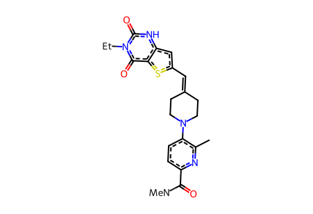 CCn1c(=O)[nH]c2cc(C=C3CCN(c4ccc(C(=O)NC)nc4C)CC3)sc2c1=O